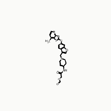 Cc1ccnc2nc(Oc3ccc4c(CN5CCC(NC(=O)COC=O)CC5)coc4c3)sc12